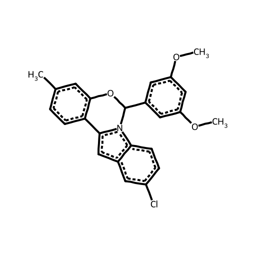 COc1cc(OC)cc(C2Oc3cc(C)ccc3-c3cc4cc(Cl)ccc4n32)c1